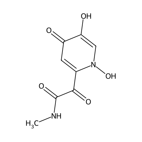 CNC(=O)C(=O)c1cc(=O)c(O)cn1O